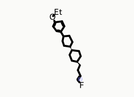 CCOc1ccc(C2CCC([C@H]3CC[C@H](CC/C=C/F)CC3)CC2)cc1